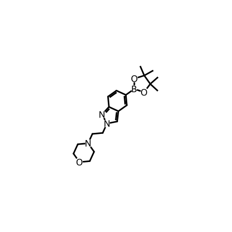 CC1(C)OB(c2ccc3nn(CCN4CCOCC4)cc3c2)OC1(C)C